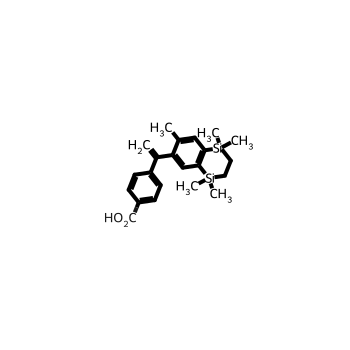 C=C(c1ccc(C(=O)O)cc1)c1cc2c(cc1C)[Si](C)(C)CC[Si]2(C)C